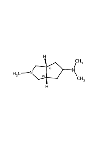 CN1C[C@H]2CC(N(C)C)C[C@H]2C1